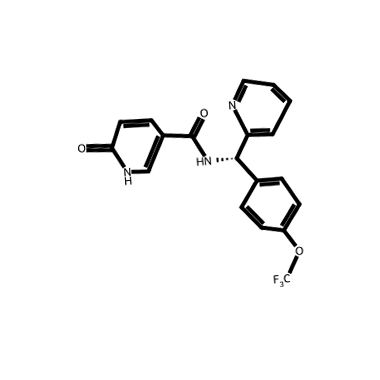 O=C(N[C@@H](c1ccc(OC(F)(F)F)cc1)c1ccccn1)c1ccc(=O)[nH]c1